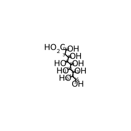 O=C(O)C(O)CC(O)C(O)C(O)C(O)C(O)C(O)CO